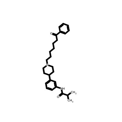 CC(C)C(=O)Nc1cccc(C2CCN(CCCCCCC(=O)c3ccccc3)CC2)c1